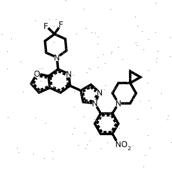 O=[N+]([O-])c1ccc(-n2cc(-c3cc4ccoc4c(N4CCC(F)(F)CC4)n3)cn2)c(N2CCC3(CC2)CC3)c1